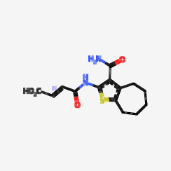 NC(=O)c1c(NC(=O)/C=C/C(=O)O)sc2c1CCCCC2